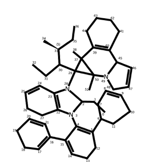 CCC1N(C2=C(C3CC=CCC3)CCC=C2C2=CCCC=C2)C2=C(C=CCC2)N1C1(C(CC)[C@@H](C)CC)C2(C)C3=C(CCCC3)C3C=CCN3C21C